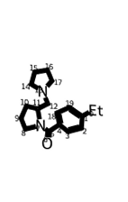 CCc1ccc(C(=O)N2CCCC2CN2CCCC2)cc1